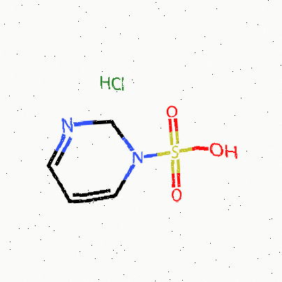 Cl.O=S(=O)(O)N1C=CC=NC1